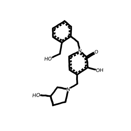 O=c1c(O)c(CN2CCC(O)C2)ccn1Cc1ccccc1CO